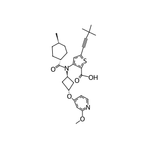 COc1cc(O[C@H]2C[C@H](N(c3cc(C#CC(C)(C)C)sc3C(=O)O)C(=O)[C@H]3CC[C@H](C)CC3)C2)ccn1